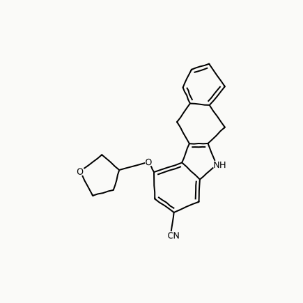 N#Cc1cc(OC2CCOC2)c2c3c([nH]c2c1)Cc1ccccc1C3